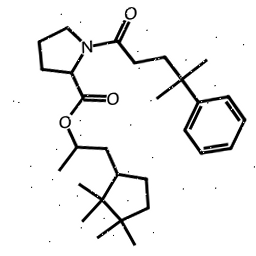 CC(CC1CCC(C)(C)C1(C)C)OC(=O)C1CCCN1C(=O)CCC(C)(C)c1ccccc1